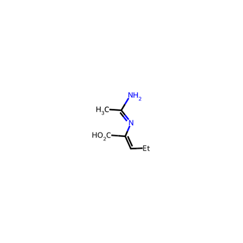 CC/C=C(\N=C(/C)N)C(=O)O